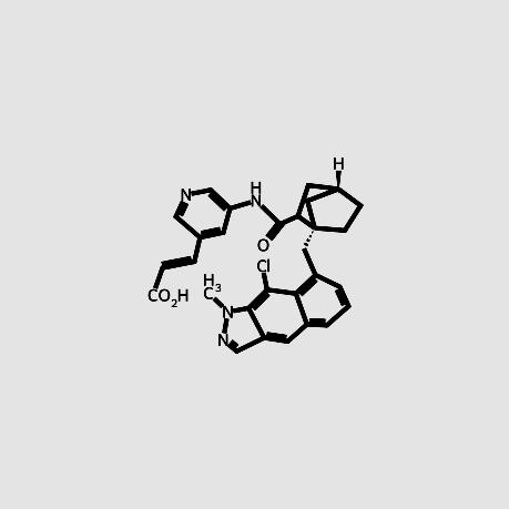 Cn1ncc2cc3cccc(C[C@]45CC[C@@H](CC4C(=O)Nc4cncc(/C=C/C(=O)O)c4)C5)c3c(Cl)c21